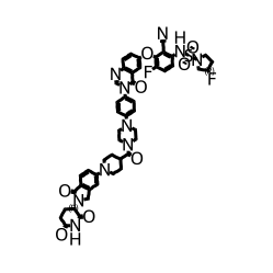 N#Cc1c(NS(=O)(=O)N2CC[C@@H](F)C2)ccc(F)c1Oc1ccc2ncn(-c3ccc(N4CCN(C(=O)C5CCN(c6ccc7c(c6)CN([C@@H]6CCC(=O)NC6=O)C7=O)CC5)CC4)cc3)c(=O)c2c1